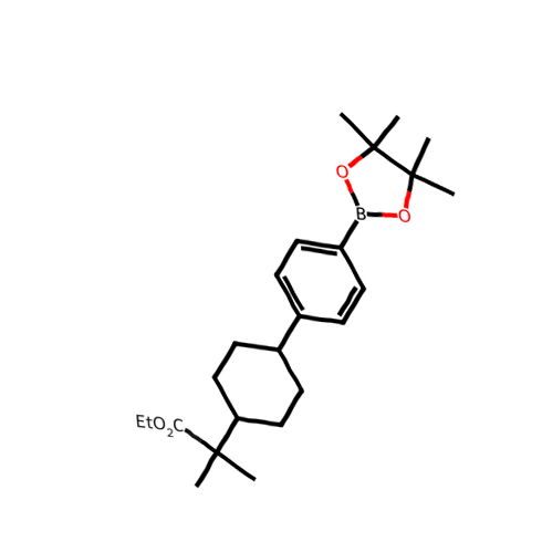 CCOC(=O)C(C)(C)C1CCC(c2ccc(B3OC(C)(C)C(C)(C)O3)cc2)CC1